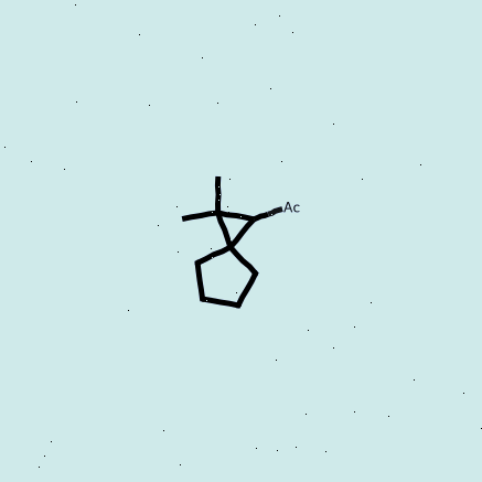 CC(=O)C1C(C)(C)C12CCCC2